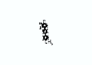 Cc1ccc(-c2ccc(-c3ccc(F)c(F)c3F)cc2)cc1